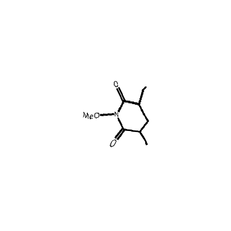 CON1C(=O)C(C)CC(C)C1=O